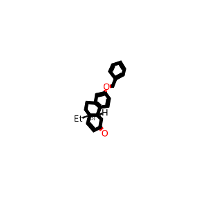 CC[C@]12C=CC(=O)C[C@H]1c1ccc(OCc3ccccc3)cc1CC2